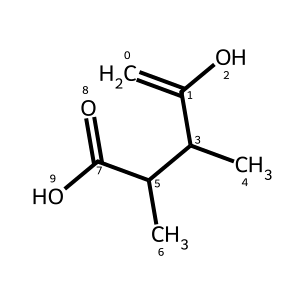 C=C(O)C(C)C(C)C(=O)O